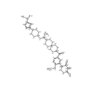 COc1ccc(C(=O)N2CCC3(CCC(N(C)CC4CCC(n5ccc(C(F)F)n5)CC4)CC3)CC2)cc1N1CCC(=O)NC1=O